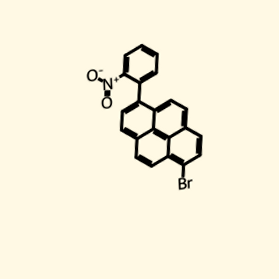 O=[N+]([O-])c1ccccc1-c1ccc2ccc3c(Br)ccc4ccc1c2c43